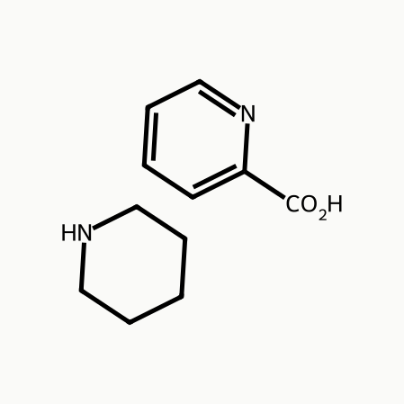 C1CCNCC1.O=C(O)c1ccccn1